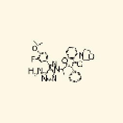 CC(C)Oc1ccc(-c2nn(C(C)c3oc4cccc(N5CCOCC5)c4c(=O)c3-c3ccccc3)c3ncnc(N)c23)cc1F